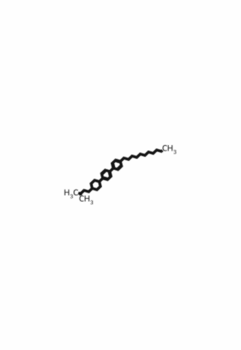 CCCCCCCCCCCc1ccc(-c2ccc(C3CCC(CCC(C)C)CC3)cc2)cc1